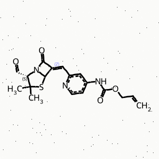 C=CCOC(=O)Nc1ccnc(/C=C2/C(=O)N3C2SC(C)(C)[C@@H]3C=O)c1